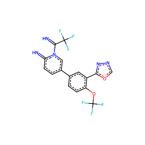 N=C(n1cc(-c2ccc(OC(F)(F)F)c(-c3nnco3)c2)ccc1=N)C(F)(F)F